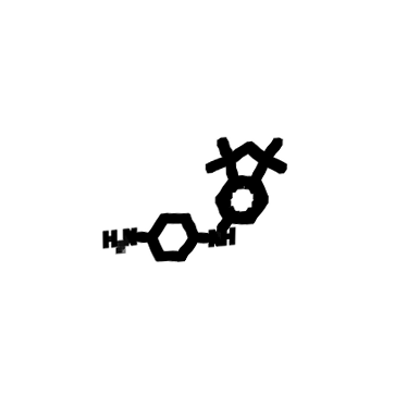 CC1(C)CC(C)(C)c2cc(NC3CCC(N)CC3)ccc21